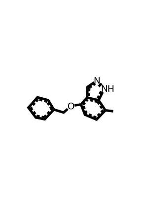 Cc1ccc(OCc2ccccc2)c2cn[nH]c12